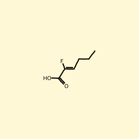 CCCC=C(F)C(=O)O